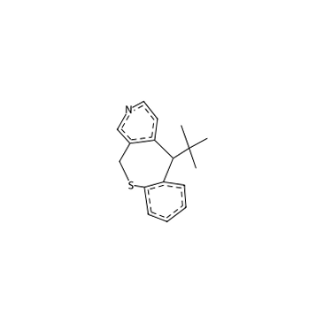 CC(C)(C)C1c2ccncc2CSc2ccccc21